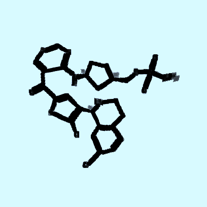 NS(=O)(=O)OC[C@@H]1CC[C@H](Nc2ncncc2C(=O)c2cc([C@H]3NCCc4ccc(Cl)cc43)c(Cl)s2)C1